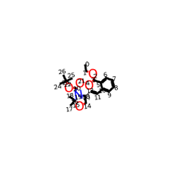 CCOC(=O)c1ccccc1C=C[C@@H]1COC(C)(C)N1C(=O)OC(C)(C)C